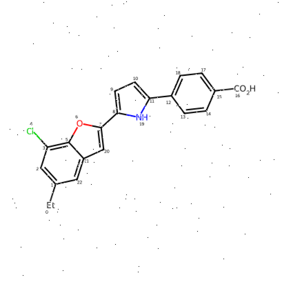 CCc1cc(Cl)c2oc(-c3ccc(-c4ccc(C(=O)O)cc4)[nH]3)cc2c1